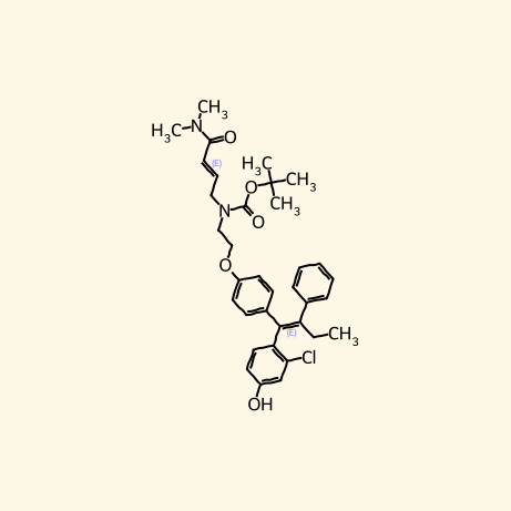 CC/C(=C(/c1ccc(OCCN(C/C=C/C(=O)N(C)C)C(=O)OC(C)(C)C)cc1)c1ccc(O)cc1Cl)c1ccccc1